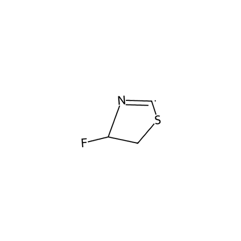 FC1CS[C]=N1